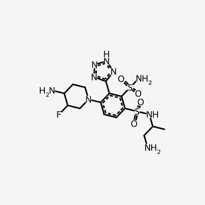 CC(CN)NS(=O)(=O)c1ccc(N2CCC(N)C(F)C2)c(-c2nn[nH]n2)c1S(N)(=O)=O